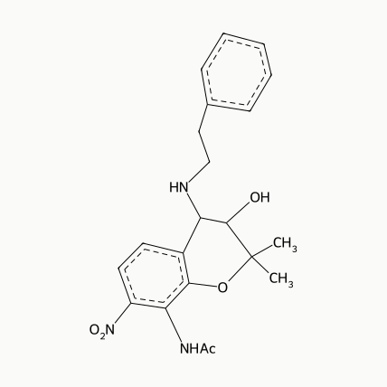 CC(=O)Nc1c([N+](=O)[O-])ccc2c1OC(C)(C)C(O)C2NCCc1ccccc1